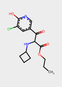 CCCOC(=O)C(NC1CCC1)C(=O)c1cnc(O)c(Cl)c1